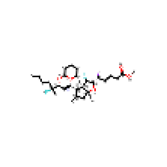 CCCCC(C)(F)[C@@H](/C=C/[C@@H]1[C@H]2C(F)[C@H](C(I)CCCC(=O)OC)O[C@@H]2C[C@H]1C)OC1CCCCO1